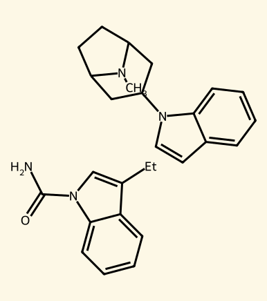 CCc1cn(C(N)=O)c2ccccc12.CN1C2CCC1CC(n1ccc3ccccc31)C2